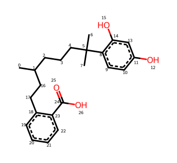 CC(CCCC(C)(C)c1ccc(O)cc1O)CCc1ccccc1C(=O)O